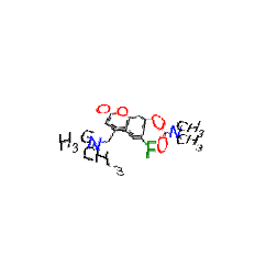 CN(C)Cc1cc(=O)oc2cc(OC(=O)N(C)C)c(F)cc12